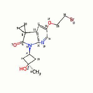 C[C@]1(O)C[C@@H](N2C(=O)C3(CC3)c3cc(OCCBr)cnc32)C1